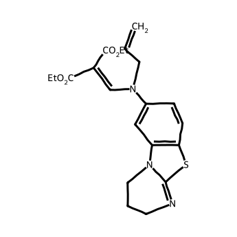 C=CCN(C=C(C(=O)OCC)C(=O)OCC)c1ccc2c(c1)N1CCCN=C1S2